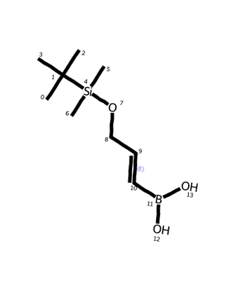 CC(C)(C)[Si](C)(C)OC/C=C/B(O)O